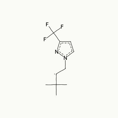 CC(C)(C)[CH]Cn1ccc(C(F)(F)F)n1